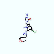 O=C1CN(Cc2cc3cc(Cl)cc(NCC4CCOCC4)c3[nH]2)CCN1